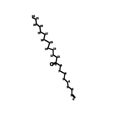 C=CCCCCCCCC(=O)CCCCCCCCCCCC